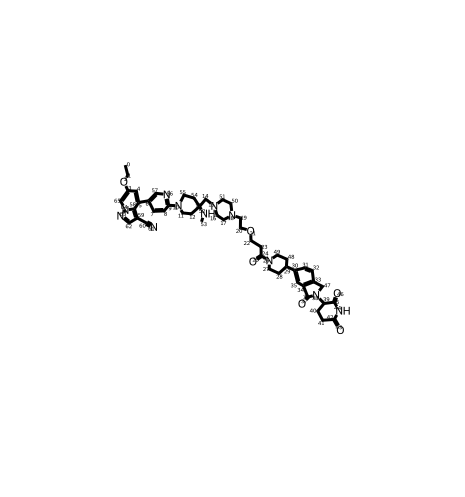 CCOc1cc(-c2ccc(N3CCC(CN4CCN(CCOCCC(=O)N5CCC(c6ccc7c(c6)C(=O)N(C6CCC(=O)NC6=O)C7)CC5)CC4)(NC)CC3)nc2)c2c(C#N)cnn2c1